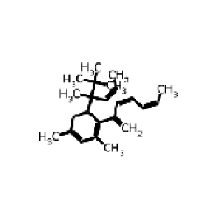 C=C(/C=C\C=C/C)C1=C(C)C=C(C)CC1C(C)(C=CC)C(C)(C)C